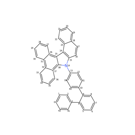 c1ccc(-c2ccccc2-c2ccc(-n3c4ccc5ccccc5c4c4c5ccccc5c5ccccc5c43)cc2)cc1